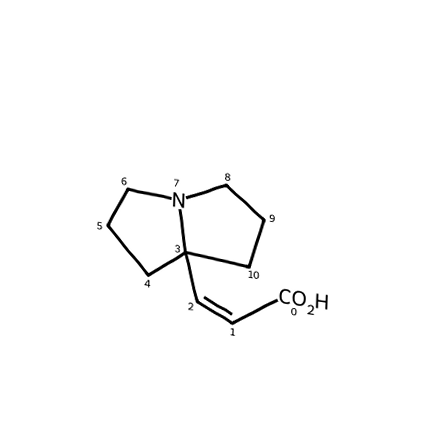 O=C(O)/C=C\C12CCCN1CCC2